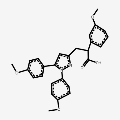 COc1ccc(-c2cc(CC(C(=O)O)c3cccc(OC)c3)nn2-c2ccc(OC)cc2)cc1